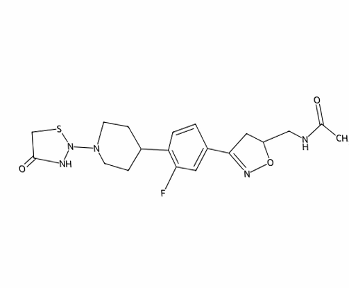 CC(=O)NCC1CC(c2ccc(C3CCN(N4NC(=O)CS4)CC3)c(F)c2)=NO1